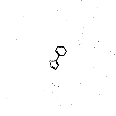 C1=CCCC(c2ccno2)=C1